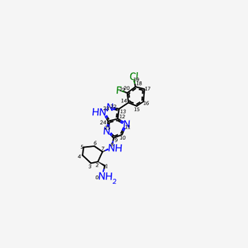 NC[C@H]1CCCC[C@H]1Nc1cnc2c(-c3cccc(Cl)c3F)n[nH]c2n1